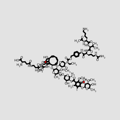 CCN(C(=O)OCc1ccc(NC(=O)[C@H](CCCNC(N)=O)NC(=O)[C@@H](NC(=O)[C@H](CCCCN)NC(C)=O)C(C)C)cc1)[C@H]1CO[C@@H](O[C@H]2[C@H](O[C@H]3C#C/C=C\C#C[C@]4(O)CC(=O)C(NC(=O)OC)=C3/C4=C\CSSC(C)(C)CCNC(=O)CC[C@H](N)C(=O)O)O[C@H](C)[C@@H](NO[C@H]3C[C@H](O)[C@H](SC(=O)c4c(C)c(I)c(O[C@@H]5O[C@@H](C)[C@H](O)[C@@H](OC)[C@H]5O)c(OC)c4OC)[C@@H](C)O3)[C@@H]2O)C[C@@H]1OC